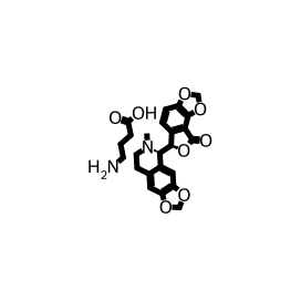 CN1CCc2cc3c(cc2[C@H]1[C@@H]1OC(=O)c2c1ccc1c2OCO1)OCO3.NCCCC(=O)O